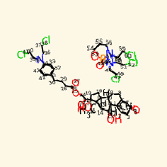 C[C@]12C=CC(=O)C=C1CC[C@@H]1[C@@H]2[C@@H](O)C[C@@]2(C)[C@H]1CC[C@]2(O)C(=O)COC(=O)CCCc1ccc(N(CCCl)CCCl)cc1.O=P1(N(CCCl)CCCl)OCCCN1CCCl